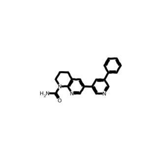 NC(=O)N1CCCc2cc(-c3cncc(-c4ccccc4)c3)cnc21